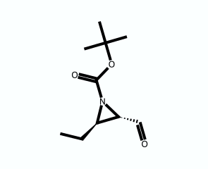 CC[C@@H]1[C@@H](C=O)N1C(=O)OC(C)(C)C